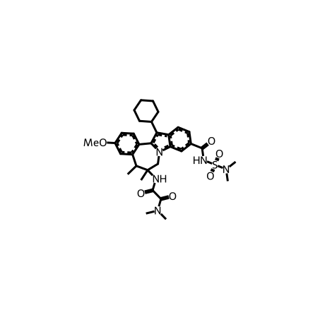 COc1ccc2c(c1)C(C)C(C)(NC(=O)C(=O)N(C)C)Cn1c-2c(C2CCCCC2)c2ccc(C(=O)NS(=O)(=O)N(C)C)cc21